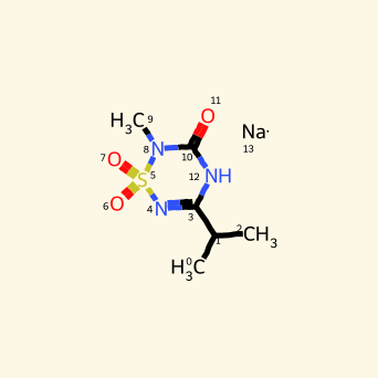 CC(C)C1=NS(=O)(=O)N(C)C(=O)N1.[Na]